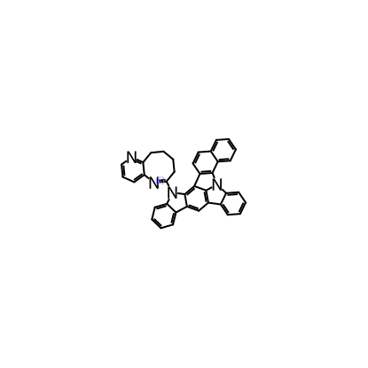 c1cnc2c(c1)/N=C(/n1c3ccccc3c3cc4c5ccccc5n5c6c7ccccc7ccc6c(c31)c45)CCCC2